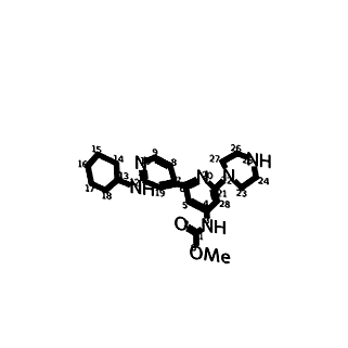 COC(=O)Nc1cc(-c2ccnc(NC3CCCCC3)c2)nc(N2CCNCC2)c1